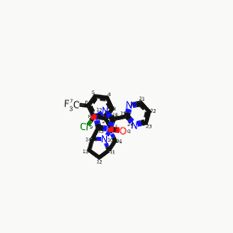 O=C(c1cccc(C(F)(F)F)c1Cl)N1C2CCC1c1nnc(-c3ncccn3)n1C2